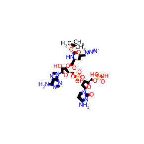 CC(C)(C)OC(=O)N[C@H](CCCN=[N+]=[N-])C(=O)O[C@H]1[C@@H](O)[C@H](n2cnc3c(N)ncnc32)O[C@H]1COP(=O)(O)O[C@H]1C[C@H](n2ccc(N)nc2=O)O[C@@H]1COP(=O)(O)O